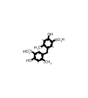 Cc1cc(O)c(S(=O)(=O)O)cc1Cc1cc(S(=O)(=O)O)c(O)cc1C